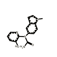 Cn1ccc2cc(N(C(N)=O)c3ncccc3O)ccc21